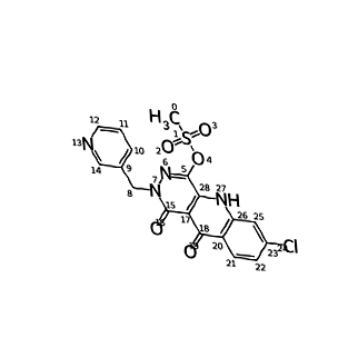 CS(=O)(=O)Oc1nn(Cc2cccnc2)c(=O)c2c(=O)c3ccc(Cl)cc3[nH]c12